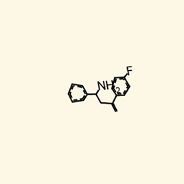 C=C(CC(N)c1ccccc1)c1ccc(F)cc1